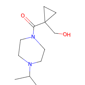 CC(C)N1CCN(C(=O)C2(CO)CC2)CC1